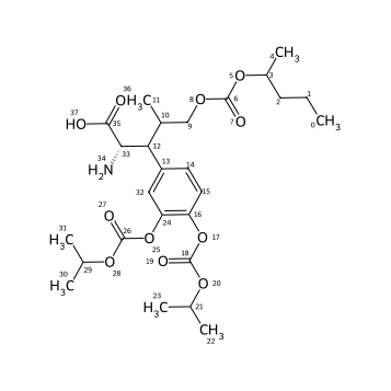 CCCC(C)OC(=O)OCC(C)C(c1ccc(OC(=O)OC(C)C)c(OC(=O)OC(C)C)c1)[C@H](N)C(=O)O